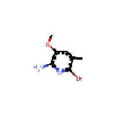 COc1cc(C)c(Br)nc1N